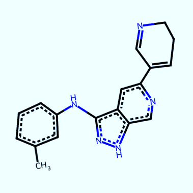 Cc1cccc(Nc2n[nH]c3cnc(C4=CCCN=C4)cc23)c1